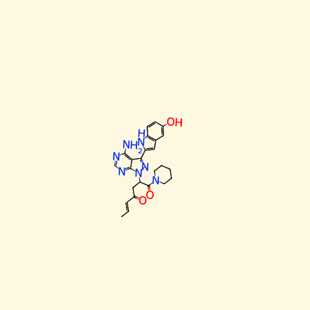 CC=CC(=O)CC(C(=O)N1CCCCC1)n1nc(-c2cc3cc(O)ccc3[nH]2)c2c(N)ncnc21